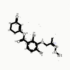 CCO/N=C(/C)COc1c(Br)ccc(C(=O)OC2=CC(=O)CCC2)c1Br